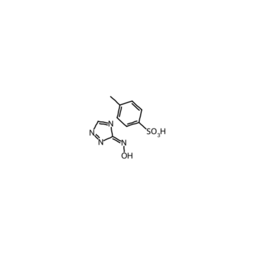 Cc1ccc(S(=O)(=O)O)cc1.ON=C1N=CN=N1